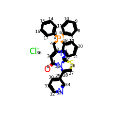 O=c1cc(C[P+](c2ccccc2)(c2ccccc2)c2ccccc2)nc2scc(-c3cccnc3)n12.[Cl-]